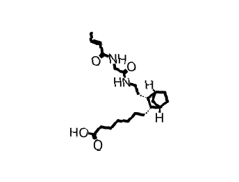 CC=CC(=O)NCC(=O)NCC[C@@H]1[C@@H]2CC[C@@H](C2)[C@@H]1CCCCCCC(=O)O